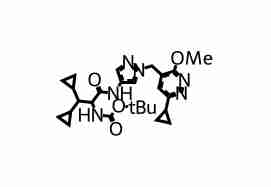 COc1nnc(C2CC2)cc1Cn1cc(NC(=O)C(NC(=O)OC(C)(C)C)C(C2CC2)C2CC2)cn1